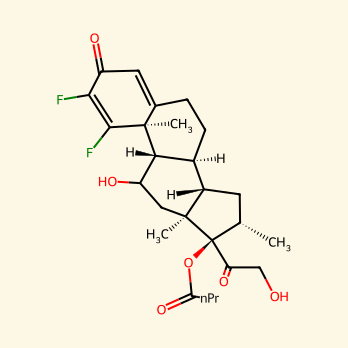 CCCC(=O)O[C@]1(C(=O)CO)[C@@H](C)C[C@H]2[C@@H]3CCC4=CC(=O)C(F)=C(F)[C@]4(C)[C@H]3C(O)C[C@@]21C